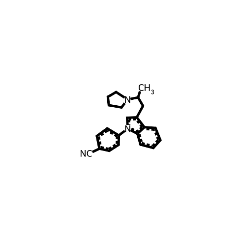 CC(Cc1cn(-c2ccc(C#N)cc2)c2ccccc12)N1CCCC1